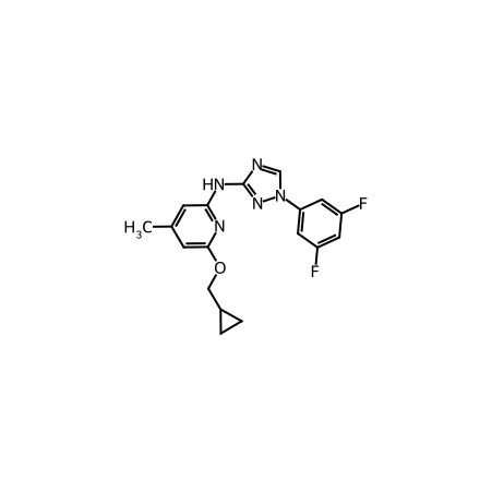 Cc1cc(Nc2ncn(-c3cc(F)cc(F)c3)n2)nc(OCC2CC2)c1